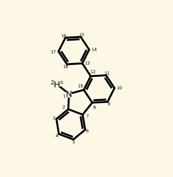 [2H]n1c2ccccc2c2cccc(-c3ccccc3)c21